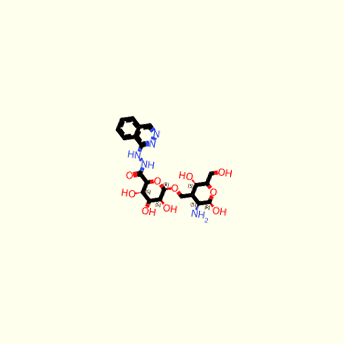 N[C@H]1C(CO[C@@H]2OC(C(=O)NNc3nncc4ccccc34)[C@@H](O)C(O)[C@@H]2O)[C@H](O)C(CO)O[C@H]1O